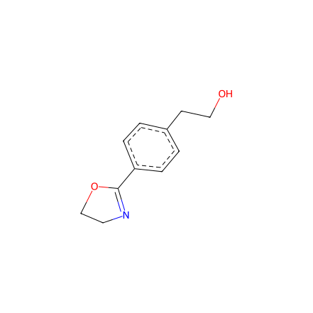 OCCc1ccc(C2=NCCO2)cc1